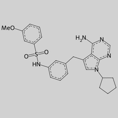 COc1cccc(S(=O)(=O)Nc2cccc(Cc3cn(C4CCCC4)c4ncnc(N)c34)c2)c1